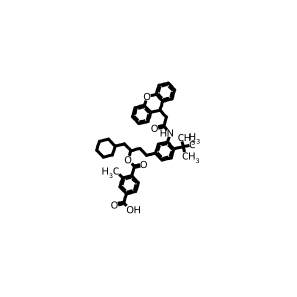 Cc1cc(C(=O)O)ccc1C(=O)OC(CCc1ccc(C(C)(C)C)c(NC(=O)CC2c3ccccc3Oc3ccccc32)c1)CC1CCCCC1